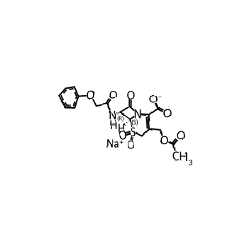 CC(=O)OCC1=C(C(=O)[O-])N2C(=O)[C@@H](NC(=O)COc3ccccc3)[C@@H]2S(=O)(=O)C1.[Na+]